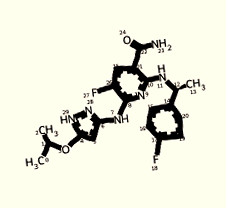 CC(C)Oc1cc(Nc2nc(N[C@@H](C)c3ccc(F)cc3)c(C(N)=O)cc2F)n[nH]1